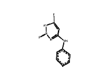 FC1=CC(Nc2ccccc2)=NN(F)N1